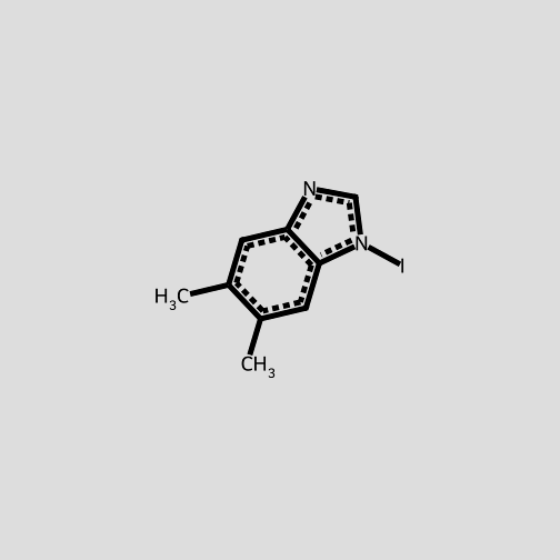 Cc1cc2ncn(I)c2cc1C